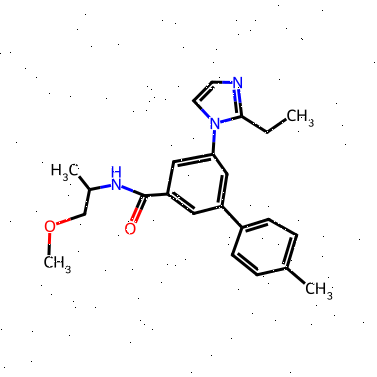 CCc1nccn1-c1cc(C(=O)NC(C)COC)cc(-c2ccc(C)cc2)c1